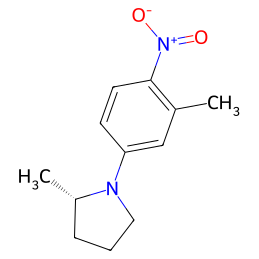 Cc1cc(N2CCC[C@@H]2C)ccc1[N+](=O)[O-]